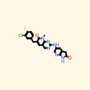 Cn1c(=O)c(Cc2ccc(F)c(Cl)c2)cc2cnc(Nc3cnc4c(c3)CC(=O)N4)nc21